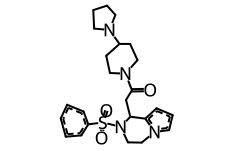 O=C(CC1c2cccn2CCN1S(=O)(=O)c1ccccc1)N1CCC(N2CCCC2)CC1